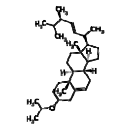 CC(C)OC1CC[C@@]2(C)C(=CC[C@H]3[C@@H]4CC[C@H](C(C)/C=C/[C@H](C)C(C)C)[C@@]4(C)CC[C@@H]32)C1